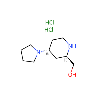 Cl.Cl.OC[C@H]1C[C@H](N2CCCC2)CCN1